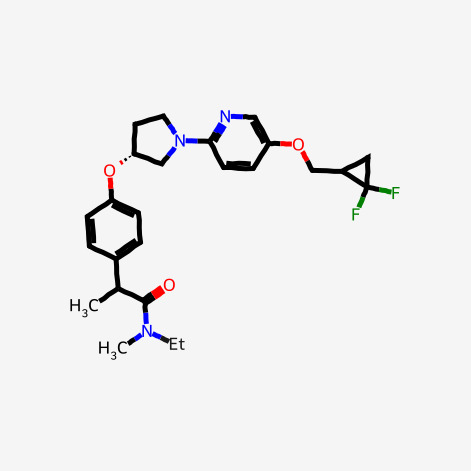 CCN(C)C(=O)C(C)c1ccc(O[C@@H]2CCN(c3ccc(OCC4CC4(F)F)cn3)C2)cc1